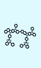 c1ccc(-c2nc(-c3ccc(-n4c5cc6cc(-c7ccc8c9cc%10c(cc9n(-c9ccccc9)c8c7)c7ccc8ccccc8c7n%10-c7ccc(-c8nc(-c9ccccc9)c9ccccc9n8)cc7)ccc6cc5c5cc6c(cc54)c4ccccc4n6-c4ccccc4)cc3)nc3ccccc23)cc1